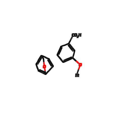 CCOc1cccc(C(=O)O)c1.c1cc2ccc1CO2